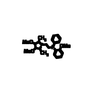 COc1ccccc1P(CCP1C(C)C(OC)C(OC)C1C)c1ccccc1